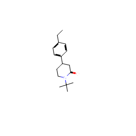 CCc1ccc(C2CCN(C(C)(C)C)C(=O)C2)cc1